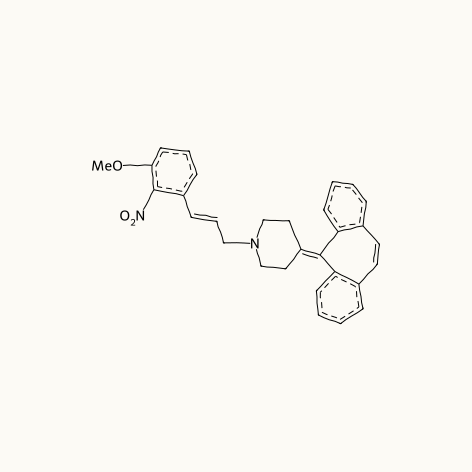 COc1cccc(C=CCN2CCC(=C3c4ccccc4C=Cc4ccccc43)CC2)c1[N+](=O)[O-]